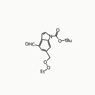 CCOOCc1cc(C=O)c2ccn(C(=O)OC(C)(C)C)c2c1